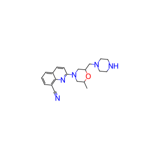 CC1CN(c2ccc3cccc(C#N)c3n2)CC(CN2CCNCC2)O1